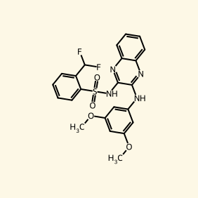 COc1cc(Nc2nc3ccccc3nc2NS(=O)(=O)c2ccccc2C(F)F)cc(OC)c1